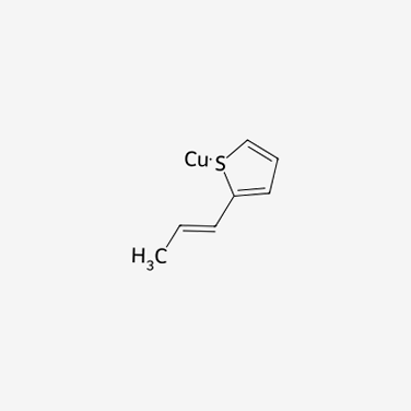 CC=Cc1cccs1.[Cu]